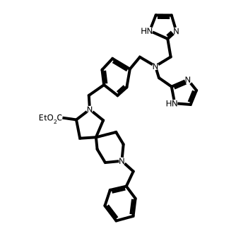 CCOC(=O)C1CC2(CCN(Cc3ccccc3)CC2)CN1Cc1ccc(CN(Cc2ncc[nH]2)Cc2ncc[nH]2)cc1